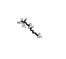 N[C@@](CF)(CCC(=O)OC(=O)CCCCCC(=O)O)C(=O)O